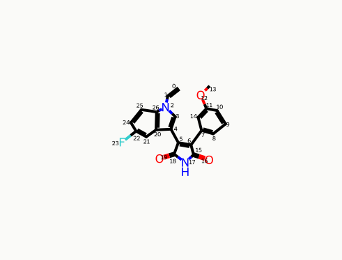 C=Cn1cc(C2=C(c3cccc(OC)c3)C(=O)NC2=O)c2cc(F)ccc21